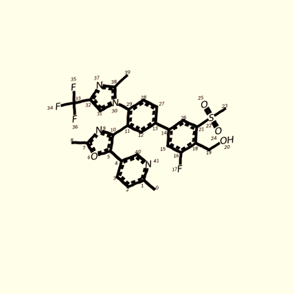 Cc1ccc(-c2oc(C)nc2-c2cc(-c3cc(F)c(CO)c(S(C)(=O)=O)c3)ccc2-n2cc(C(F)(F)F)nc2C)cn1